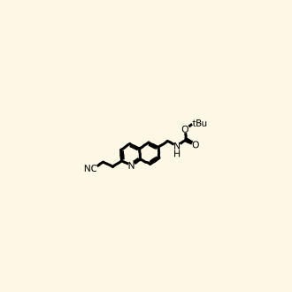 CC(C)(C)OC(=O)NCc1ccc2nc(CCC#N)ccc2c1